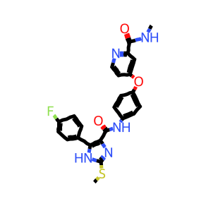 CNC(=O)c1cc(Oc2ccc(NC(=O)c3nc(SC)[nH]c3-c3ccc(F)cc3)cc2)ccn1